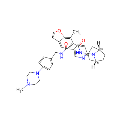 Cc1c(C(=O)N[C@H]2C[C@H]3CC[C@@H](C2)N3c2ccc(C(=O)NCc3ccc(N4CCN(C)CC4)cc3)cn2)ccc2ccoc12